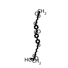 C=CC(=O)OCCCCOc1ccc(C(=O)Oc2ccc(-c3ccc(OCCCCCCOC(=O)C(=C)CO)cc3)cc2)cc1